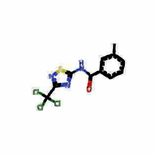 Cc1cccc(C(=O)Nc2nc(C(Cl)(Cl)Cl)ns2)c1